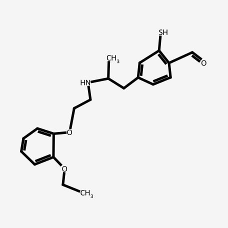 CCOc1ccccc1OCCNC(C)Cc1ccc(C=O)c(S)c1